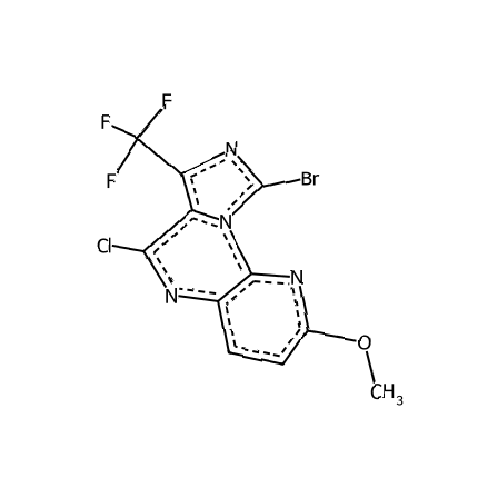 COc1ccc2nc(Cl)c3c(C(F)(F)F)nc(Br)n3c2n1